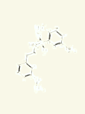 COc1cccc(CCNS(=O)(=O)c2cc(N)ccc2C)c1